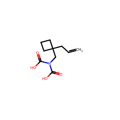 C=CCC1(CN(C(=O)O)C(=O)O)CCC1